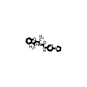 Cc1c([C@@H](C)NC(=O)Nc2ccc(N3CCCC3)nc2)oc2ccccc12